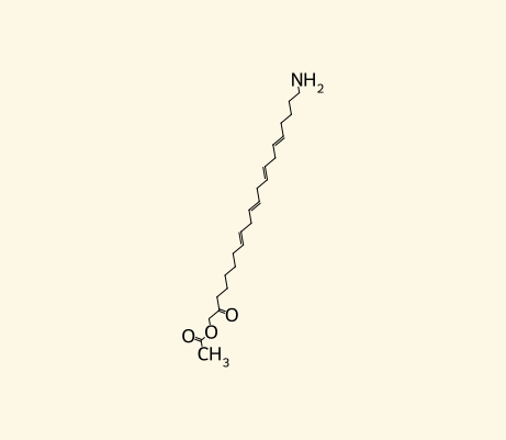 CC(=O)OCC(=O)CCCCCC=CCC=CCC=CCC=CCCCCN